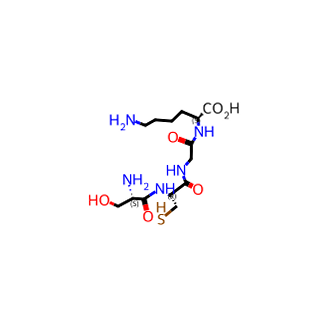 NCCCC[C@H](NC(=O)CNC(=O)[C@H](CS)NC(=O)[C@@H](N)CO)C(=O)O